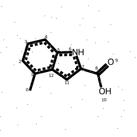 Cc1cccc2[nH]c(C(=O)O)cc12